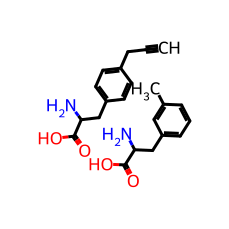 C#CCc1ccc(CC(N)C(=O)O)cc1.Cc1cccc(CC(N)C(=O)O)c1